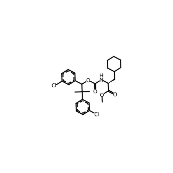 COC(=O)[C@H](CC1CCCCC1)NC(=O)OC(c1cccc(Cl)c1)C(C)(C)c1cccc(Cl)c1